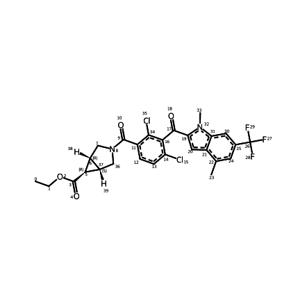 CCOC(=O)[C@H]1[C@@H]2CN(C(=O)c3ccc(Cl)c(C(=O)c4cc5c(C)cc(C(F)(F)F)cc5n4C)c3Cl)C[C@@H]21